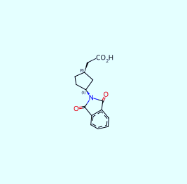 O=C(O)C[C@@H]1CC[C@H](N2C(=O)c3ccccc3C2=O)C1